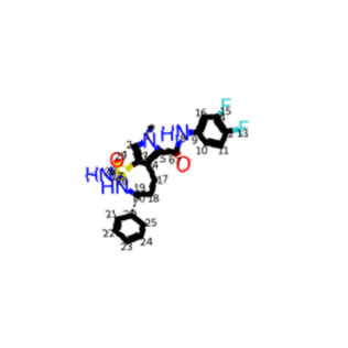 Cn1cc2c(c1C(=O)Nc1ccc(F)c(F)c1)CC[C@H](C1C=CC=CC1)NS2(=N)=O